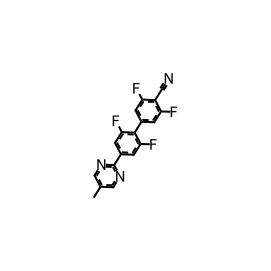 Cc1cnc(-c2cc(F)c(-c3cc(F)c(C#N)c(F)c3)c(F)c2)nc1